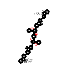 CCCCCCCCC1(CCCCCCCC)c2ccccc2-c2ccc(-c3ccc4c(c3)C(C)(C)c3cc(-c5cc6oc7cc8c(cc7c6c6c5oc5ccccc56)oc5cc(-c6ccc7c(c6)C(C)(C)c6cc(-c9ccc%10c(c9)C(CCCCCCCC)(CCCCCCCC)c9ccccc9-%10)ccc6-7)c6oc7ccccc7c6c58)ccc3-4)cc21